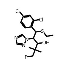 CCSC(c1ccc(Cl)cc1Cl)C(C(O)C(C)(C)CF)n1cncn1